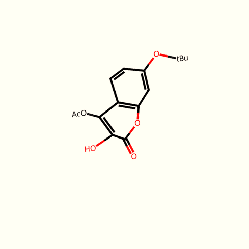 CC(=O)Oc1c(O)c(=O)oc2cc(OC(C)(C)C)ccc12